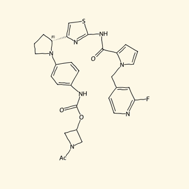 CC(=O)N1CC(OC(=O)Nc2ccc(N3CCC[C@@H]3c3csc(NC(=O)c4cccn4Cc4ccnc(F)c4)n3)cc2)C1